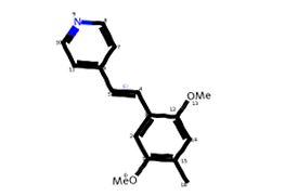 COc1cc(/C=C/c2ccncc2)c(OC)cc1C